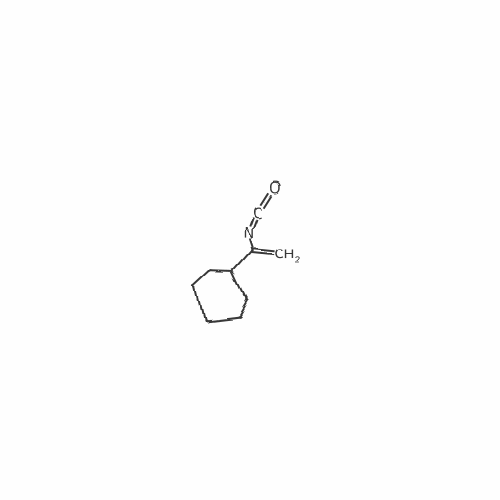 C=C(N=C=O)C1CCCCC1